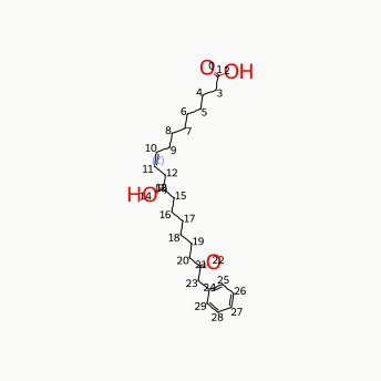 O=C(O)CCCCCCC/C=C\C[C@H](O)CCCCCCC(=O)Cc1ccccc1